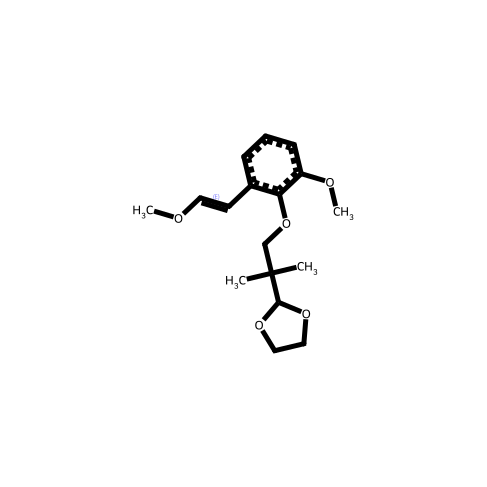 CO/C=C/c1cccc(OC)c1OCC(C)(C)C1OCCO1